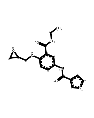 CCOC(=O)c1cc(NC(=O)c2ccsc2)ccc1OCC1CO1